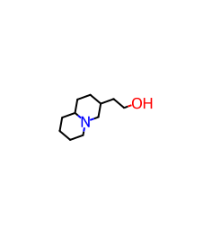 OCCC1CCC2CCCCN2C1